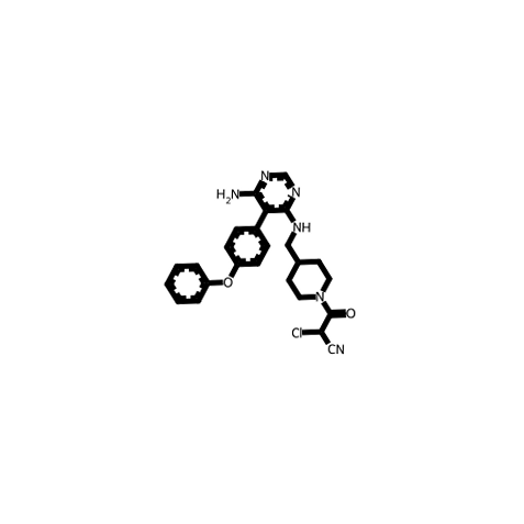 N#CC(Cl)C(=O)N1CCC(CNc2ncnc(N)c2-c2ccc(Oc3ccccc3)cc2)CC1